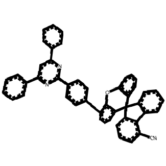 N#Cc1cccc2c1-c1ccccc1C21c2ccccc2Oc2c(-c3ccc(-c4nc(-c5ccccc5)cc(-c5ccccc5)n4)cc3)cccc21